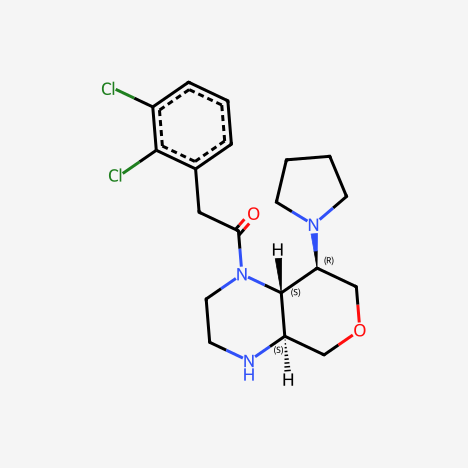 O=C(Cc1cccc(Cl)c1Cl)N1CCN[C@@H]2COC[C@H](N3CCCC3)[C@H]21